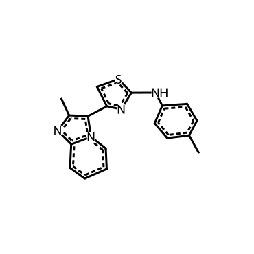 Cc1ccc(Nc2nc(-c3c(C)nc4ccccn34)cs2)cc1